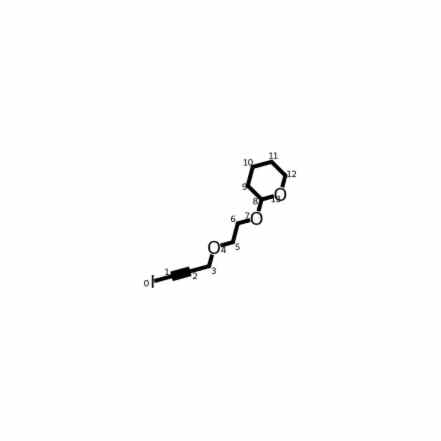 IC#CCOCCOC1CCCCO1